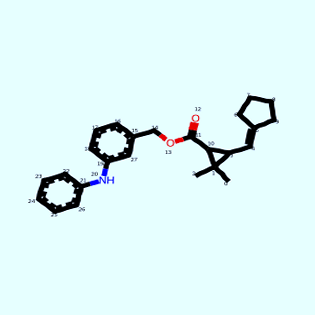 CC1(C)C(C=C2CCCC2)C1C(=O)OCc1cccc(Nc2ccccc2)c1